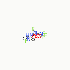 CC(C)c1ccc(C(NC(=O)C2CC(F)CN2C(=O)Cc2nc(C(F)(F)F)co2)c2ccccc2)nc1F